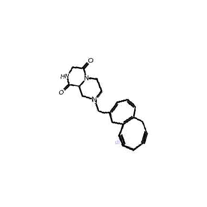 O=C1NCC(=O)N2CCN(CC3=CC=CC4=C(/C=C\CC#CC4)C3)CC12